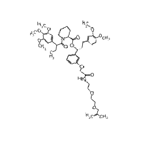 C=C(C)COCCOCCNC(=O)COc1cccc([C@@H](CCc2ccc(OC)c(OC)c2)OC(=O)[C@@H]2CCCCN2C(=O)C(CC)c2cc(OC)c(OC)c(OC)c2)c1